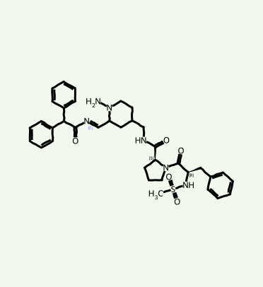 CS(=O)(=O)N[C@H](Cc1ccccc1)C(=O)N1CCC[C@H]1C(=O)NCC1CCN(N)C(/C=N/C(=O)C(c2ccccc2)c2ccccc2)C1